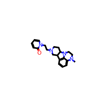 CN1CCN2c3c(cccc31)C1CN(CCn3ccccc3=O)CCC12